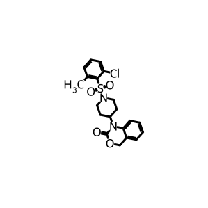 Cc1cccc(Cl)c1S(=O)(=O)N1CCC(N2C(=O)OCc3ccccc32)CC1